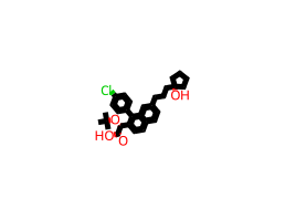 CC(C)(C)OC(C(=O)O)c1ccc2ccc(CCCC3(O)CCCC3)cc2c1-c1ccc(Cl)cc1